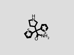 NC(=O)C(c1cccs1)(c1cccs1)C1CCNC1